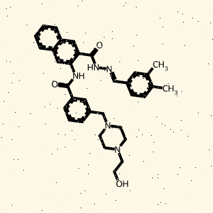 Cc1ccc(/C=N/NC(=O)c2cc3ccccc3cc2NC(=O)c2cccc(CN3CCN(CCO)CC3)c2)cc1C